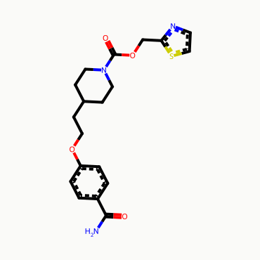 NC(=O)c1ccc(OCCC2CCN(C(=O)OCc3nccs3)CC2)cc1